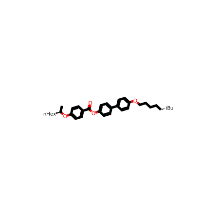 CCCCCC[C@@H](C)Oc1ccc(C(=O)Oc2ccc(-c3ccc(OCCCCC[C@@H](C)CC)cc3)cc2)cc1